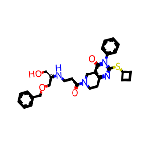 O=C(CCN[C@H](CO)COCc1ccccc1)N1CCc2nc(SC3CCC3)n(-c3ccccc3)c(=O)c2C1